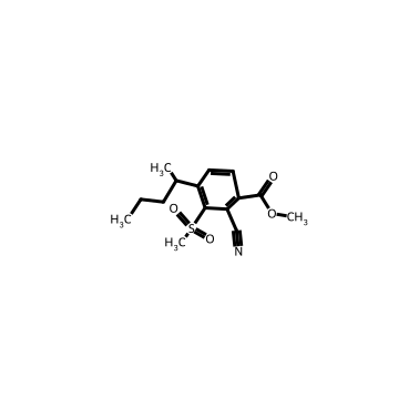 CCCC(C)c1ccc(C(=O)OC)c(C#N)c1S(C)(=O)=O